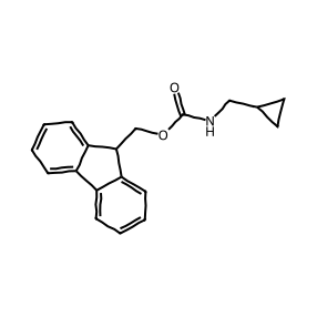 O=C(NC[C]1CC1)OCC1c2ccccc2-c2ccccc21